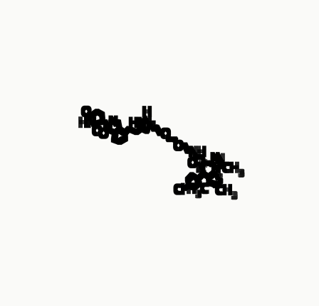 Cc1sc2c(c1C)C(c1ccc(Cl)cc1)=N[C@@H](CC(=O)NCCOCCOCCN1C=C(CCc3cccc4c(=O)n(C5CCC(=O)NC5=O)ncc34)NN1)c1nnc(C)n1-2